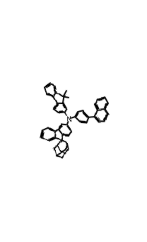 CC1(C)c2ccccc2-c2ccc(N(c3ccc(-c4cccc5ccccc45)cc3)c3ccc4c(c3)-c3ccccc3C43C4CC5CC(C4)CC3C5)cc21